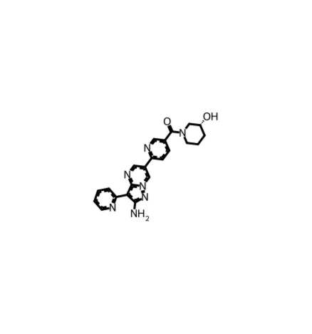 Nc1nn2cc(-c3ccc(C(=O)N4CCC[C@@H](O)C4)cn3)cnc2c1-c1ccccn1